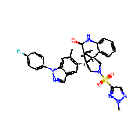 Cc1cc2c(cnn2-c2ccc(F)cc2)cc1[C@@]12CN(S(=O)(=O)c3cnn(C)n3)C[C@@]13c1ccccc1NC(=O)[C@H]32